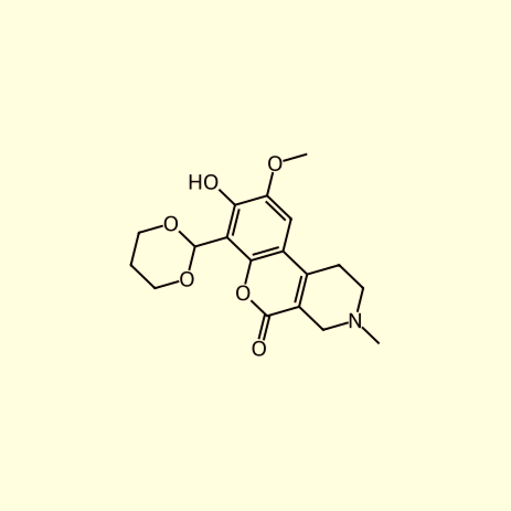 COc1cc2c3c(c(=O)oc2c(C2OCCCO2)c1O)CN(C)CC3